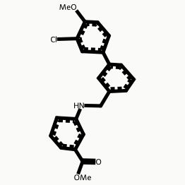 COC(=O)c1cccc(NCc2cccc(-c3ccc(OC)c(Cl)c3)c2)c1